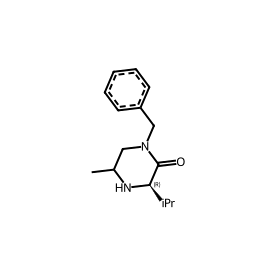 CC1CN(Cc2ccccc2)C(=O)[C@@H](C(C)C)N1